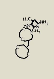 Cc1cc(N)nc(C)c1NC1CCCCCCC(CC2CCCCCCCCCCC2)CCCC1